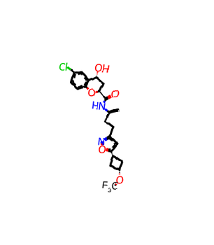 C=C(CCc1cc([C@H]2C[C@@H](OC(F)(F)F)C2)on1)NC(=O)[C@@H]1C[C@@H](O)c2cc(Cl)ccc2O1